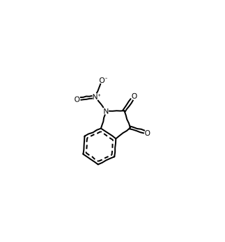 O=C1C(=O)N([N+](=O)[O-])c2ccccc21